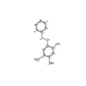 CC(=O)c1cc(C(C)(C)C)c(C)cc1OCc1ccccc1